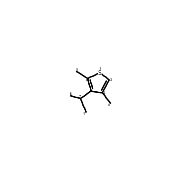 Cc1csc(C)c1C(C)C